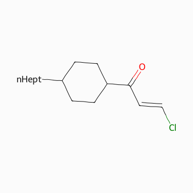 CCCCCCCC1CCC(C(=O)C=CCl)CC1